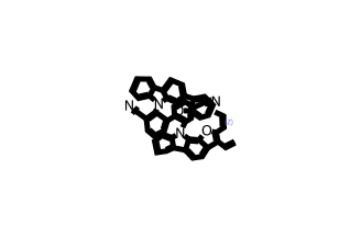 C=Cc1c(/C=C\C)oc2c1ccc1c3ccccc3n(-c3cc(C#N)ccc3-c3cccc(C#N)c3-n3c4ccccc4c4ccc5c6ccccc6oc5c43)c12